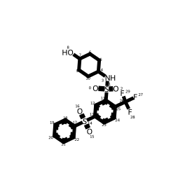 O=S(=O)(NC1CCC(O)CC1)c1cc(S(=O)(=O)c2ccccc2)ccc1C(F)(F)F